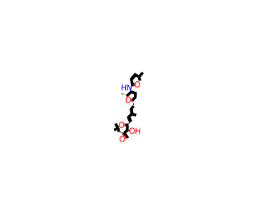 CC(/C=C/[C@H]1OC(C)(C)C[C@@]2(CO2)[C@@H]1O)=C\C[C@H]1CC[C@@H](NC(=O)/C=C\C(C)C)[C@@H](C)O1